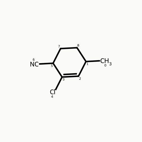 CC1C=C(Cl)C(C#N)CC1